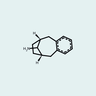 NC1[C@@H]2CC[C@H]1Cc1ccccc1C2